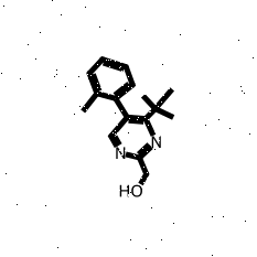 Cc1ccccc1-c1cnc(CO)nc1C(C)(C)C